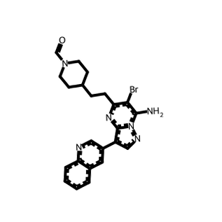 Nc1c(Br)c(CCC2CCN(C=O)CC2)nc2c(-c3cnc4ccccc4c3)cnn12